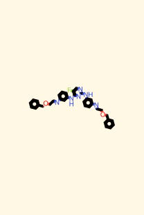 Fc1cnc(Nc2cccc(N=CCOCc3ccccc3)c2)nc1Nc1cccc(N=CCOCc2ccccc2)c1